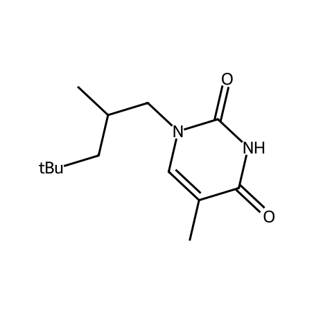 Cc1cn(CC(C)CC(C)(C)C)c(=O)[nH]c1=O